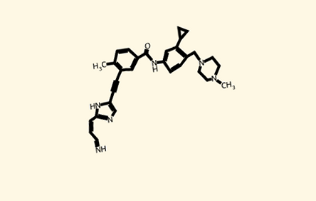 Cc1ccc(C(=O)Nc2ccc(CN3CCN(C)CC3)c(C3CC3)c2)cc1C#Cc1cnc(/C=C\C=N)[nH]1